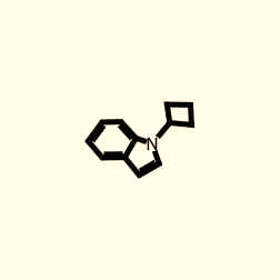 c1ccc2c(c1)ccn2C1CCC1